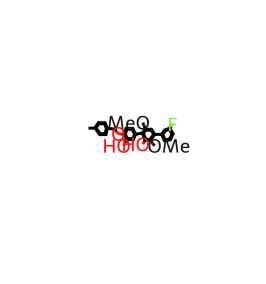 COc1cc(-c2cccc(F)c2)c(OC)c(O)c1-c1ccc(OCc2ccc(C)cc2)c(O)c1